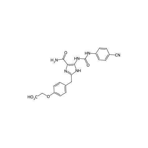 N#Cc1ccc(NC(=O)Nc2[nH]c(Cc3ccc(OCC(=O)O)cc3)nc2C(N)=O)cc1